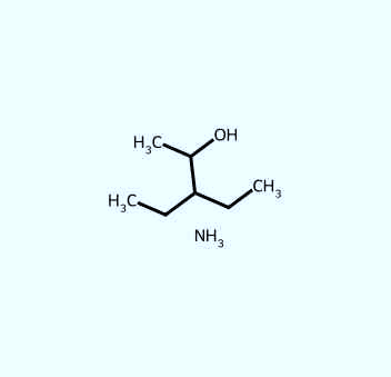 CCC(CC)C(C)O.N